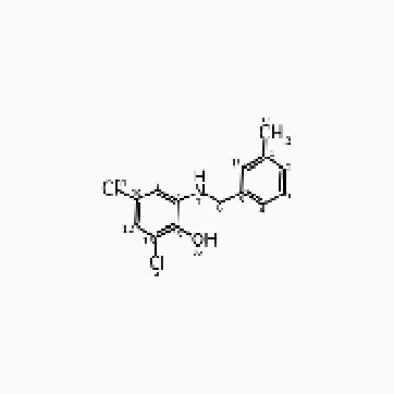 Cc1cccc(CNc2cc(Cl)cc(Cl)c2O)c1